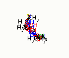 Cc1ncsc1-c1ccc([C@H](C)NC(=O)C2C[C@@H](O)CN2C(=O)[C@@H](NC(=O)COCCN2CCN(c3ccc(C(=O)N[C@H]4C(C)(C)[C@H](Oc5ccc(C#N)c(Cl)c5)C4(C)C)cn3)C[C@H]2CO)C(C)(C)C)cc1